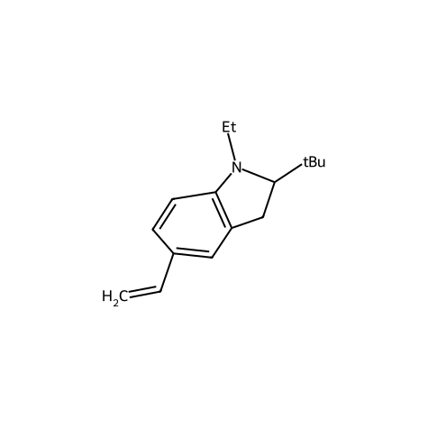 C=Cc1ccc2c(c1)CC(C(C)(C)C)N2CC